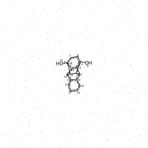 OCC1c2c3ccccc3c(c3ccccc23)C1CO